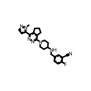 Cn1nccc1-c1nnc(N2CCC(NCc3ccc(F)c(C#N)c3)CC2)c2c1CCC2